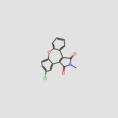 Cn1c(=O)c2c3ccccc3oc3ccc(Cl)cc3c=2c1=O